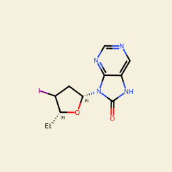 CC[C@H]1O[C@@H](n2c(=O)[nH]c3cncnc32)CC1I